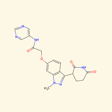 Cn1nc(C2CCC(=O)NC2=O)c2ccc(OCC(=O)Nc3cncnc3)cc21